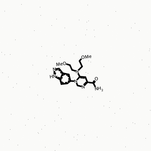 COCCN(CCOC)C1=CC(C(N)=O)=NCN1c1ccc2[nH]ncc2c1